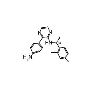 Cc1ccc([C@H](C)Nc2nccnc2-c2ccc(N)cc2)c(C)c1